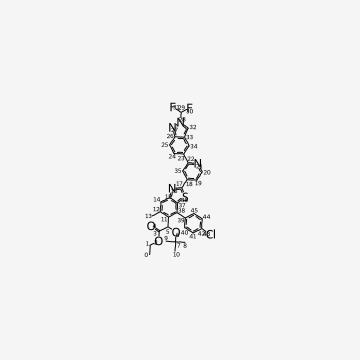 CCOC(=O)C(OC(C)(C)C)c1c(C)cc2nc(-c3ccnc(-c4ccc5nn(C(F)F)cc5c4)c3)sc2c1-c1ccc(Cl)cc1